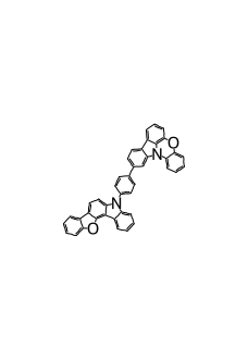 c1ccc2c(c1)Oc1cccc3c4ccc(-c5ccc(-n6c7ccccc7c7c8oc9ccccc9c8ccc76)cc5)cc4n-2c13